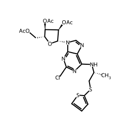 CC(=O)OC[C@H]1O[C@@H](n2cnc3c(N[C@H](C)CSc4cccs4)nc(Cl)nc32)[C@H](OC(C)=O)[C@@H]1OC(C)=O